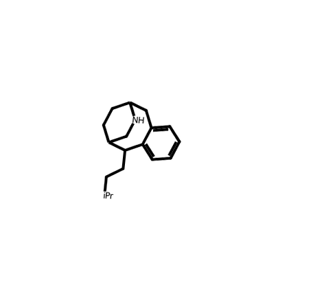 CC(C)CCC1c2ccccc2CC2CCC1CN2